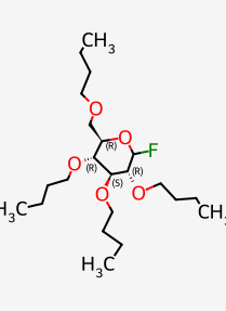 CCCCOC[C@H]1OC(F)[C@H](OCCCC)[C@@H](OCCCC)[C@@H]1OCCCC